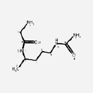 CC(CCCNC(N)=O)NC(=O)CN